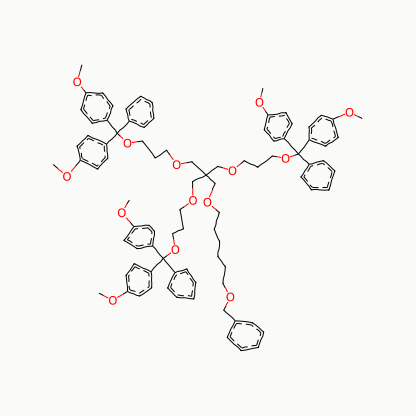 COc1ccc(C(OCCCOCC(COCCCCCCOCc2ccccc2)(COCCCOC(c2ccccc2)(c2ccc(OC)cc2)c2ccc(OC)cc2)COCCCOC(c2ccccc2)(c2ccc(OC)cc2)c2ccc(OC)cc2)(c2ccccc2)c2ccc(OC)cc2)cc1